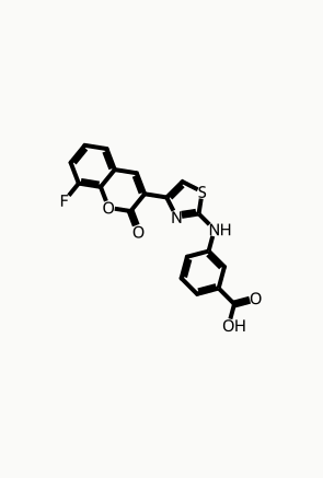 O=C(O)c1cccc(Nc2nc(-c3cc4cccc(F)c4oc3=O)cs2)c1